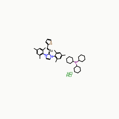 C1CCC(P(C2CCCCC2)C2CCCCC2)CC1.Cc1cc(C)c(-n2ccn(-c3c(C)cc(C)cc3C)[c]2=[Ru]=[CH]c2cccs2)c(C)c1.Cl.Cl